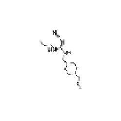 CCCN/C(=N\C#N)NCC1CCC(CCC)CC1